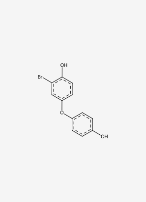 Oc1ccc(Oc2ccc(O)c(Br)c2)cc1